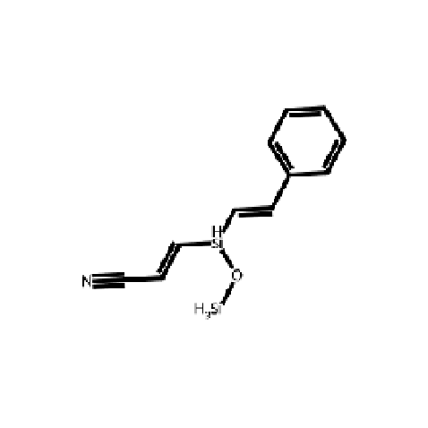 N#CC=C[SiH](C=Cc1ccccc1)O[SiH3]